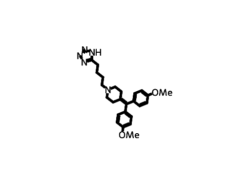 COc1ccc(C(=C2CCN(CCCCc3nnn[nH]3)CC2)c2ccc(OC)cc2)cc1